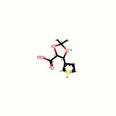 CC1(C)OC(C(=O)O)C(c2ccsc2)O1